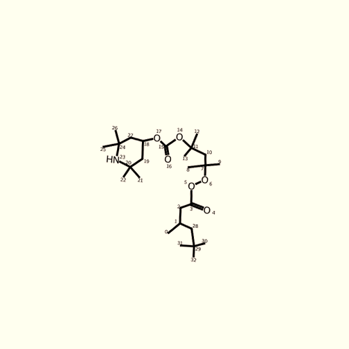 CC(CC(=O)OOC(C)(C)CC(C)(C)OC(=O)OC1CC(C)(C)NC(C)(C)C1)CC(C)(C)C